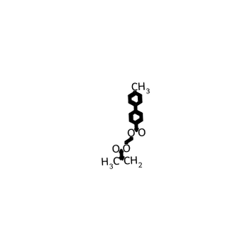 C=C(C)C(=O)OCCOC(=O)c1ccc(-c2ccc(C)cc2)cc1